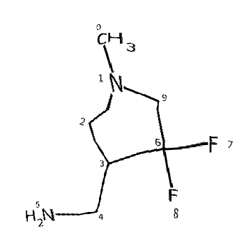 CN1CC(CN)C(F)(F)C1